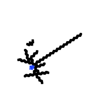 CCCCCCCCCCCCCCCCCCCCCCCCCC=CC1=C(c2cc(CCCCC)c(CCCCC)c(CCCCC)c2)[N+](=[N-])C(c2cc(CCCCC)c(CCCCC)c(CCCCC)c2)=C1CCCC.C[CH2][Ni][CH2]C